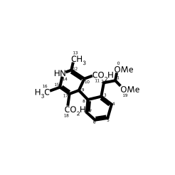 COC(Cc1ccccc1C1C(C(=O)O)=C(C)NC(C)=C1C(=O)O)OC